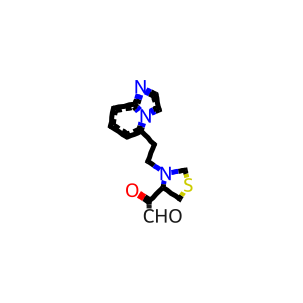 O=CC(=O)C1CSCN1CCc1cccc2nccn12